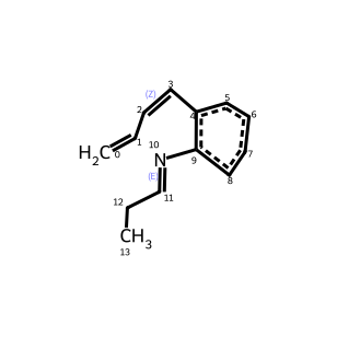 C=C/C=C\c1ccccc1/N=C/CC